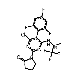 C[C@H](Nc1nc(N2CCCC2=O)nc(Cl)c1-c1c(F)cc(F)cc1F)C(F)(F)F